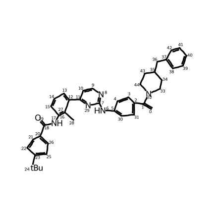 C=C(c1ccc(Nc2nccc(-c3cccc(NC(=O)c4ccc(C(C)(C)C)cc4)c3C)n2)cc1)N1CCC(Cc2ccccc2)CC1